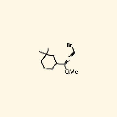 COC(=C=CBr)C1CCCC(C)(C)C1